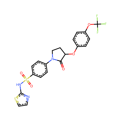 O=C1C(Oc2ccc(OC(F)(F)F)cc2)CCN1c1ccc(S(=O)(=O)Nc2nccs2)cc1